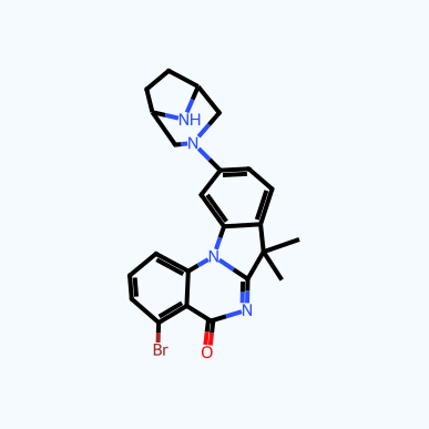 CC1(C)c2ccc(N3CC4CCC(C3)N4)cc2-n2c1nc(=O)c1c(Br)cccc12